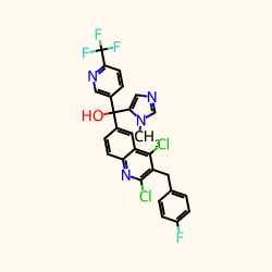 Cn1cncc1C(O)(c1ccc(C(F)(F)F)nc1)c1ccc2nc(Cl)c(Cc3ccc(F)cc3)c(Cl)c2c1